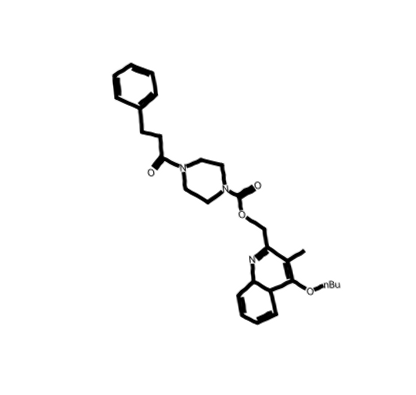 CCCCOC1=C(C)C(COC(=O)N2CCN(C(=O)CCc3ccccc3)CC2)=NC2C=CC=CC12